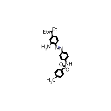 CCN(CC)c1ccc(/N=N/c2ccc(NS(=O)(=O)c3ccc(C)cc3)cc2)c(N)c1